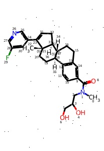 CN(CC(O)CO)C(=O)c1ccc2c(c1)CC[C@@H]1[C@@H]2CC[C@]2(C)C(c3cncc(F)c3)=CC[C@@H]12